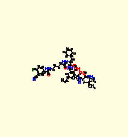 CC(C)C[C@H](NC(=O)C[C@H](O)[C@H](CC(C)C)NC(=O)[C@H](Cc1ccccc1)NC(=O)CCCCNC(=O)c1ccc(F)c(C#N)c1)C(N)=O